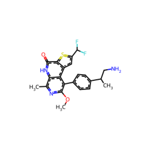 COc1nc(C)c2[nH]c(=O)c3sc(C(F)F)cc3c2c1-c1ccc(C(C)CN)cc1